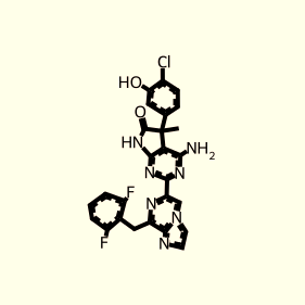 CC1(c2ccc(Cl)c(O)c2)C(=O)Nc2nc(-c3cn4ccnc4c(Cc4c(F)cccc4F)n3)nc(N)c21